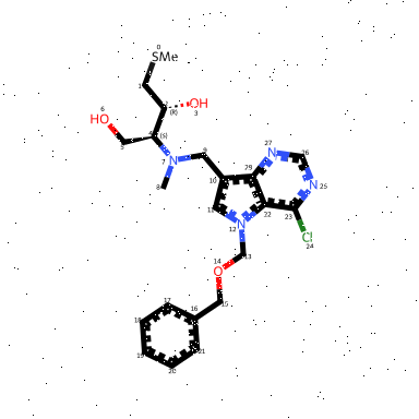 CSC[C@H](O)[C@H](CO)N(C)Cc1cn(COCc2ccccc2)c2c(Cl)ncnc12